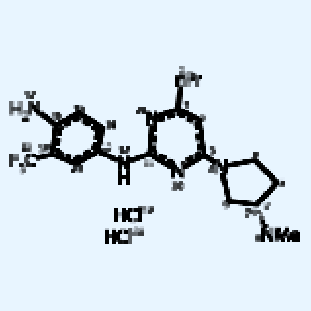 CCCc1cc(N2CC[C@H](NC)C2)nc(Nc2ccc(N)c(C(F)(F)F)c2)n1.Cl.Cl